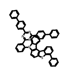 c1ccc(-c2ccc(-c3nc(-c4ccc(-c5ccccc5)cc4)nc(-c4ccccc4-n4c5ccccc5c5c6c(ccc54)sc4c(-c5ccccc5)cccc46)n3)cc2)cc1